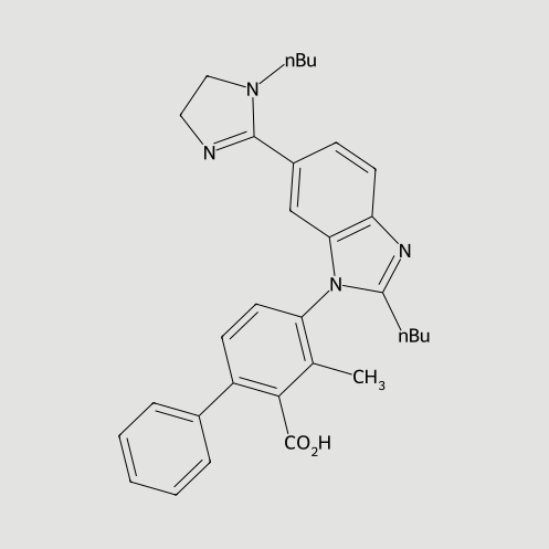 CCCCc1nc2ccc(C3=NCCN3CCCC)cc2n1-c1ccc(-c2ccccc2)c(C(=O)O)c1C